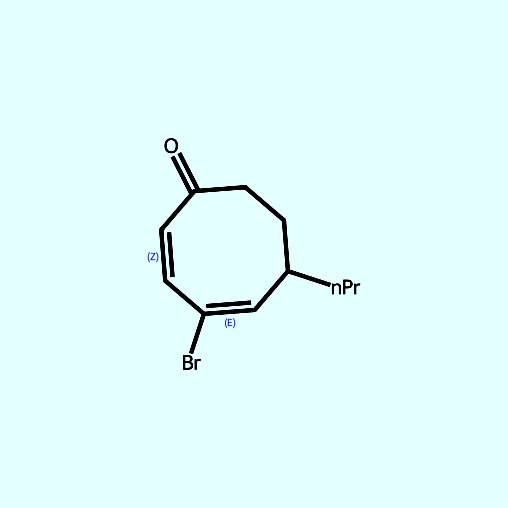 CCCC1/C=C(Br)\C=C/C(=O)CC1